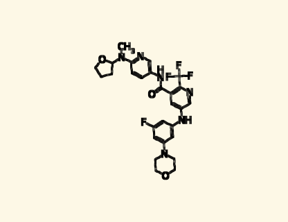 CN(c1ccc(NC(=O)c2cc(Nc3cc(F)cc(N4CCOCC4)c3)cnc2C(F)(F)F)cn1)C1CCCO1